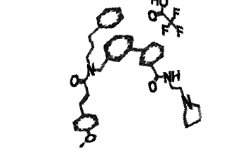 COc1ccc(/C=C/C(=O)N(CCCc2ccccc2)Cc2cccc(-c3cccc(C(=O)NCCN4CCCC4)c3)c2)cc1.O=C(O)C(F)(F)F